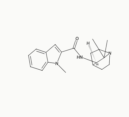 Cn1c(C(=O)N[C@@H]2C3CCN(CC3)C2(C)C)cc2ccccc21